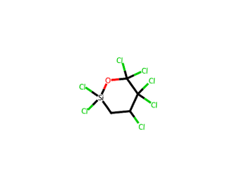 ClC1C[Si](Cl)(Cl)OC(Cl)(Cl)C1(Cl)Cl